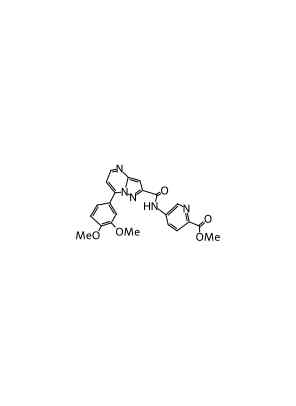 COC(=O)c1ccc(NC(=O)c2cc3nccc(-c4ccc(OC)c(OC)c4)n3n2)cn1